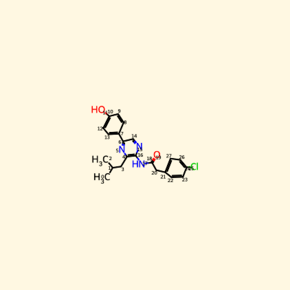 CC(C)Cc1nc(-c2ccc(O)cc2)cnc1NC(=O)Cc1ccc(Cl)cc1